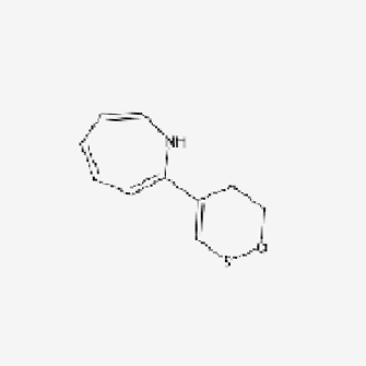 C1=CC=C(C2=CSOCC2)NC=C1